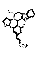 CC[C@@H]1Cc2c([nH]c3ccccc23)[C@@H](c2c(F)cc(/C=C/C(=O)O)cc2F)N1C1CCOC1